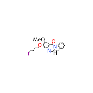 COc1cc2c(cc1OCCCCI)N=C[C@@H]1Cc3ccccc3N1C2=O